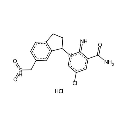 Cl.N=c1c(C(N)=O)cc(Cl)cn1C1CCc2ccc(C[SH](=O)=O)cc21